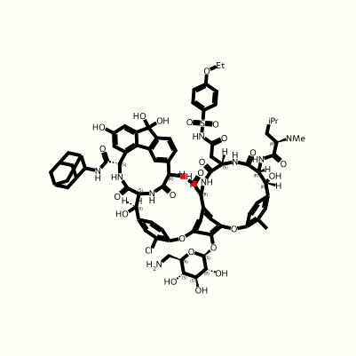 CCOc1ccc(S(=O)(=O)NC(=O)C[C@@H]2NC(=O)[C@H](NC(=O)[C@@H](CC(C)C)NC)[C@H](O)c3ccc(c(C)c3)Oc3cc4cc(c3O[C@@H]3O[C@H](CN)[C@@H](O)[C@H](O)[C@H]3O)Oc3ccc(cc3Cl)[C@@H](O)[C@@H]3NC(=O)[C@H](NC(=O)[C@@H]4NC2=O)c2ccc4c(c2)-c2c(cc(O)cc2C4(O)O)[C@@H](C(=O)NC2C4CC5CC(C4)CC2C5)NC3=O)cc1